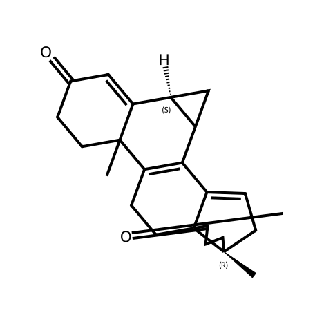 CC12CCC(=O)C=C1[C@H]1CC1C1=C2CCC23C(=O)CC[C@]2(C)CC=C13